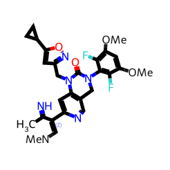 CN/C=C(\C(C)=N)c1cc2c(cn1)CN(c1c(F)c(OC)cc(OC)c1F)C(=O)N2Cc1cc(C2CC2)on1